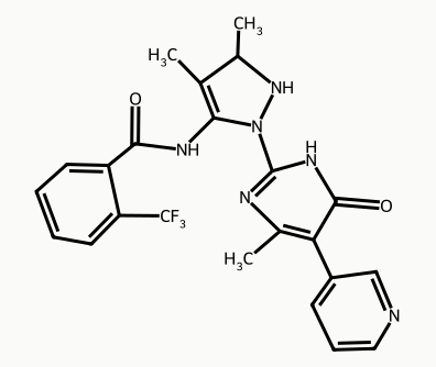 CC1=C(NC(=O)c2ccccc2C(F)(F)F)N(c2nc(C)c(-c3cccnc3)c(=O)[nH]2)NC1C